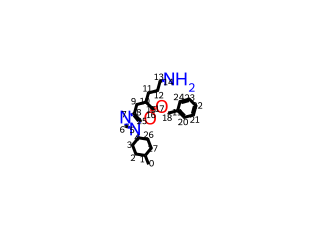 CC1CCC(n2cnc(CC(CCCN)C(=O)OCc3ccccc3)c2)CC1